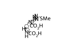 CSCc1nnn([C@H]2C[C@@H](C(=O)O)N(CC3CC[C@H]4CNC(C(=O)O)CC4C3)C2)n1